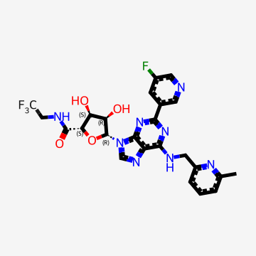 Cc1cccc(CNc2nc(-c3cncc(F)c3)nc3c2ncn3[C@@H]2O[C@H](C(=O)NCC(F)(F)F)[C@@H](O)[C@H]2O)n1